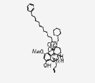 C=CCN1CC[C@]23c4c5c(O)cc(OC)c4O[C@H]2[C@H](N(CC2CCCCC2)C(=O)CCCCCCCCCCc2ccccc2)CC[C@H]3[C@H]1C5